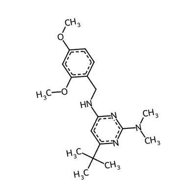 COc1ccc(CNc2cc(C(C)(C)C)nc(N(C)C)n2)c(OC)c1